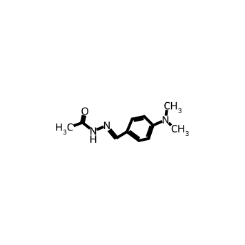 CC(=O)N/N=C/c1ccc(N(C)C)cc1